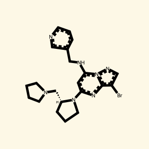 Brc1cnn2c(NCc3cccnc3)cc(N3CCC[C@@H]3CN3CCCC3)nc12